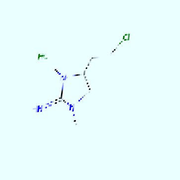 CN1CC(CCCl)N(C)C1=N.Cl